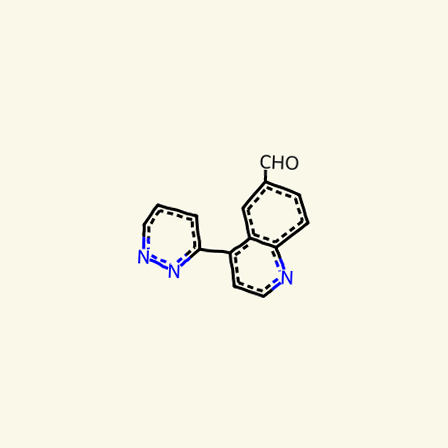 O=Cc1ccc2nccc(-c3cccnn3)c2c1